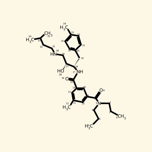 CCCN(CCC)C(=O)c1cc(C)cc(C(=O)N[C@@H](Cc2ccc(C)cc2)[C@H](O)CNCCC(C)C)c1